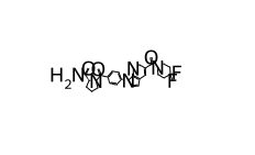 NC(=O)[C@@H]1CCCN1C(=O)c1ccc(-n2ccc3cc(C(=O)N4CCC(F)(F)CC4)cnc32)cc1